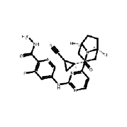 CNC(=O)c1ncc(Nc2nccc(N3C[C@H]4CC[C@@H](C3)N4C(=O)[C@@H]3CC3C#N)n2)cc1F